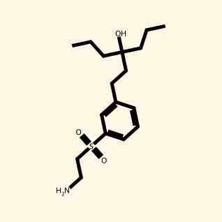 CCCC(O)(CCC)CCc1cccc(S(=O)(=O)CCN)c1